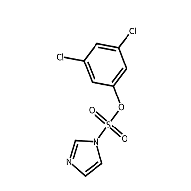 O=S(=O)(Oc1cc(Cl)cc(Cl)c1)n1ccnc1